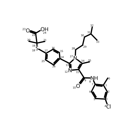 Cc1cc(Cl)ccc1NC(=O)c1nc(-c2ccc(SC(C)(C)C(=O)O)cc2)n(CCCC(C)C)c1C